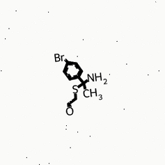 CC(N)(SCC=O)c1ccc(Br)cc1